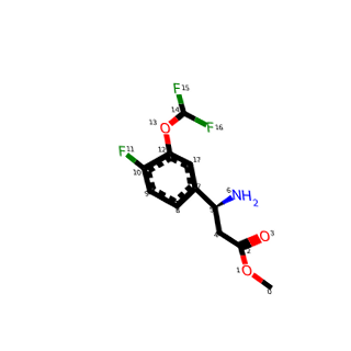 COC(=O)C[C@H](N)c1ccc(F)c(OC(F)F)c1